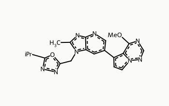 COc1ncnn2ccc(-c3cnc4nc(C)n(Cc5nnc(C(C)C)o5)c4c3)c12